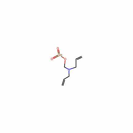 C=CCN(CC=C)CO[SH](=O)=O